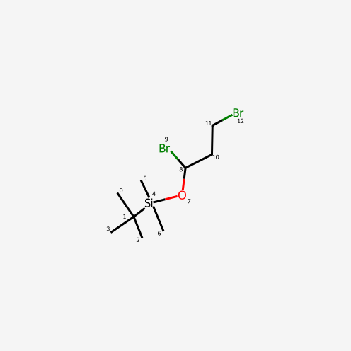 CC(C)(C)[Si](C)(C)OC(Br)CCBr